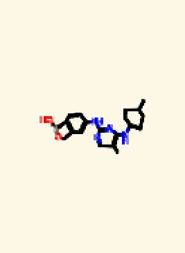 Cc1cnc(Nc2ccc3c(c2)COB3O)nc1NC1CCC(C)CC1